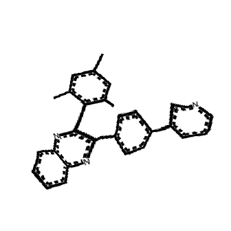 Cc1cc(C)c(-c2nc3ccccc3nc2-c2ccc(-c3cccnc3)cc2)c(C)c1